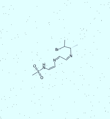 CC(Br)[C@H](C)\N=C/C=N\C=C/NS(C)(=O)=O